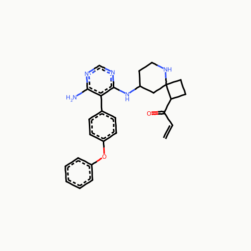 C=CC(=O)C1CCC12CC(Nc1ncnc(N)c1-c1ccc(Oc3ccccc3)cc1)CCN2